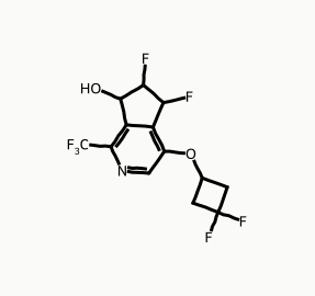 OC1c2c(C(F)(F)F)ncc(OC3CC(F)(F)C3)c2C(F)C1F